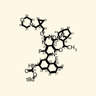 CC1Oc2nc(-c3cc(NC(=O)OC(C)(C)C)cc4ccc(F)c(F)c34)c(F)c3nc(OCC4(CN5CCOCC5)CC4)nc(c23)N2CC3CCC(C12)N3C(=O)O